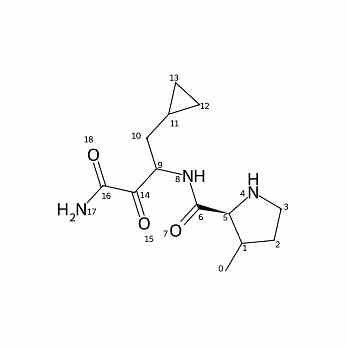 CC1CCN[C@@H]1C(=O)NC(CC1CC1)C(=O)C(N)=O